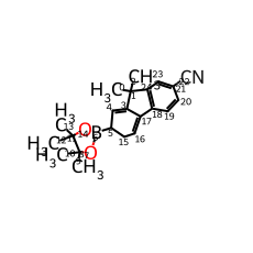 CC1(C)C2=CC(B3OC(C)(C)C(C)(C)O3)CC=C2c2ccc(C#N)cc21